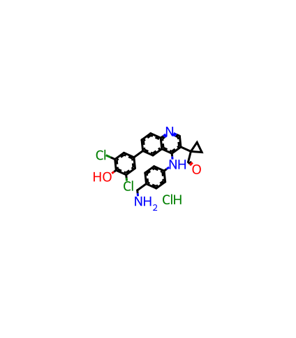 Cl.NCc1ccc(Nc2c(C3(C=O)CC3)cnc3ccc(-c4cc(Cl)c(O)c(Cl)c4)cc23)cc1